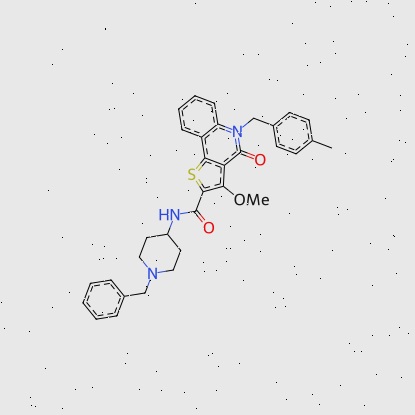 COc1c(C(=O)NC2CCN(Cc3ccccc3)CC2)sc2c1c(=O)n(Cc1ccc(C)cc1)c1ccccc21